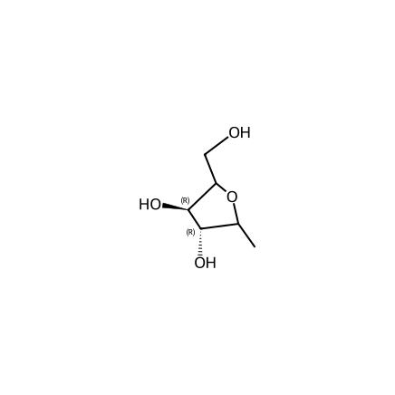 CC1OC(CO)[C@H](O)[C@H]1O